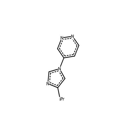 CC(C)c1cn(-c2ccnnc2)cn1